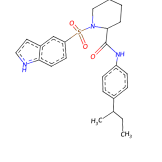 CCC(C)c1ccc(NC(=O)C2CCCCN2S(=O)(=O)c2ccc3[nH]ccc3c2)cc1